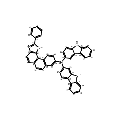 c1ccc(-c2nc3ccc4ccc5cc(N(c6ccc7c(c6)sc6ccccc67)c6ccc7oc8ccccc8c7c6)ccc5c4c3s2)cc1